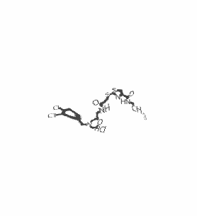 CCNC(=O)c1csc(SCC(=O)NCC2CN(Cc3ccc(Cl)c(Cl)c3)CCO2)n1.Cl